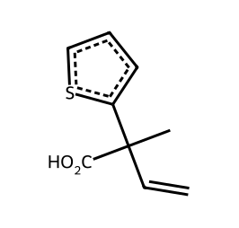 C=CC(C)(C(=O)O)c1cccs1